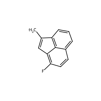 [CH2]C1=Cc2c(F)ccc3cccc1c23